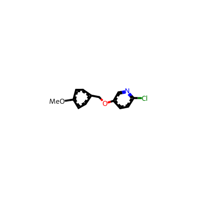 COc1ccc(COc2ccc(Cl)nc2)cc1